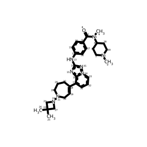 CN1CCC(N(C)C(=O)c2ccc(Nc3nc4c(C5=CCN(N6CC(C)(C)C6)CCC5)cccn4n3)cc2)CC1